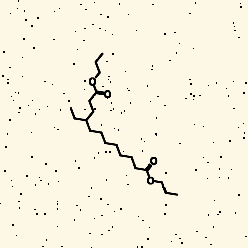 CCCOC(=O)CCCCCCCC(CC)CCC(=O)OCCC